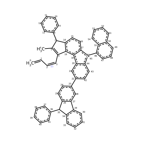 C=C/C=C\C1=C(C)C(c2ccccc2)c2ccc3c(c21)c1cc(-c2ccc4c(c2)-c2ccccc2C4c2ccccc2)ccc1n3-c1cccc2ccccc12